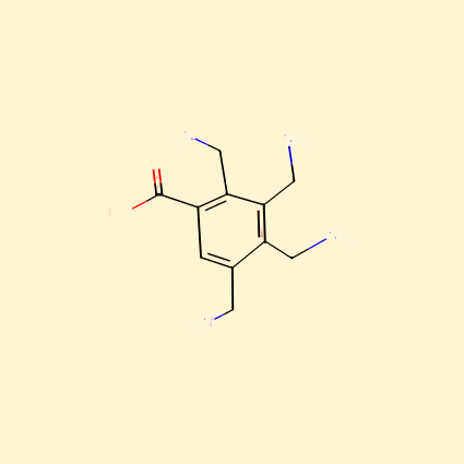 NCc1cc(C(=O)O)c(CN)c(CN)c1CN